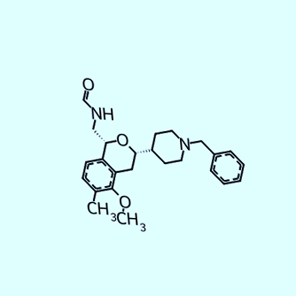 COc1c(C)ccc2c1C[C@@H](C1CCN(Cc3ccccc3)CC1)O[C@H]2CNC=O